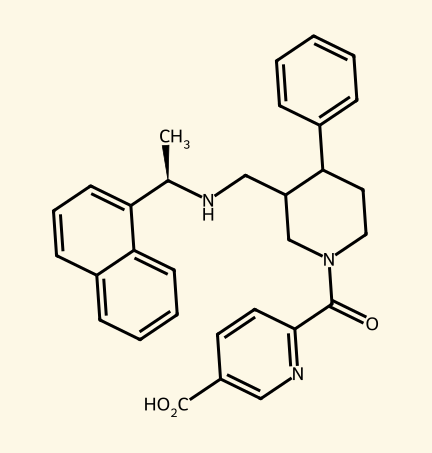 C[C@@H](NCC1CN(C(=O)c2ccc(C(=O)O)cn2)CCC1c1ccccc1)c1cccc2ccccc12